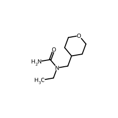 CCN(CC1CCOCC1)C(N)=O